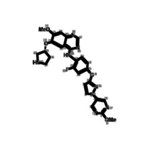 COc1ncc(-n2ccc(Oc3ccc(Nc4ncnc5cc(OC)c(O[C@@H]6CCNC6)cc45)c(F)c3)n2)cn1